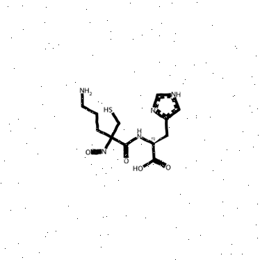 NCCCC(CS)(N=O)C(=O)N[C@@H](Cc1c[nH]cn1)C(=O)O